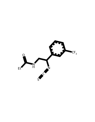 CCC(=O)NCC(N=C=S)c1cccc(C(F)(F)F)c1